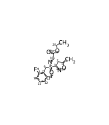 C=C1CC(S(=O)(Cc2c(F)cccc2F)=NCC(=O)OCC)=NO1